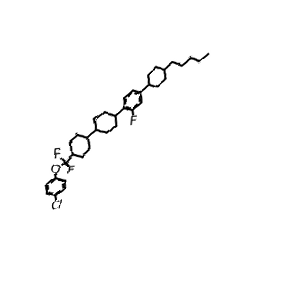 CCCCCC1CCC(c2ccc(C3CCC(C4CCC(C(F)(F)Oc5ccc(Cl)cc5)CC4)CC3)c(F)c2)CC1